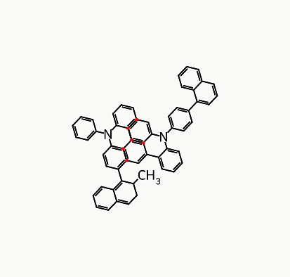 CC1CC=c2ccccc2=C1c1ccc(N(c2ccccc2)c2ccccc2-c2cccc(-c3ccccc3N(c3ccccc3)c3ccc(-c4cccc5ccccc45)cc3)c2)cc1